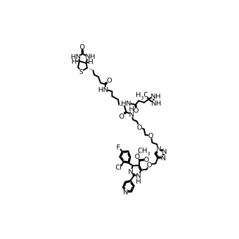 COC(=O)C1=C(COCc2cn(CCOCCOCCNC(=O)[C@H](CCCCNC(=O)CCCC[C@@H]3SC[C@@H]4NC(=O)N[C@@H]43)NC(=O)CCC3(C)NN3)nn2)NC(c2ccncc2)=NC1c1ccc(F)cc1Cl